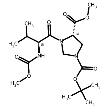 COC(=O)N[C@H](C(=O)N1CN(C(=O)OC(C)(C)C)C[C@H]1C(=O)OC)C(C)C